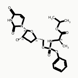 CC(C)OC(=O)[C@@H](C)NP(=O)(OC[C@@H]1C[C@H](Cl)[C@H](n2ccc(=O)[nH]c2=O)O1)Oc1ccccc1